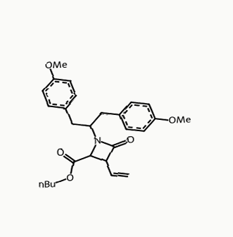 C=CC1C(=O)N(C(Cc2ccc(OC)cc2)Cc2ccc(OC)cc2)C1C(=O)OCCCC